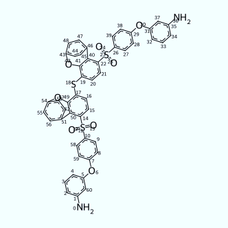 Nc1cccc(Oc2ccc(S(=O)(=O)c3ccc(Sc4ccc(S(=O)(=O)c5ccc(Oc6cccc(N)c6)cc5)c5c4Oc4ccc-5cc4)c4c3-c3ccc(cc3)O4)cc2)c1